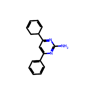 Nc1nc(-c2ccccc2)cc(C2C=CC=CC2)n1